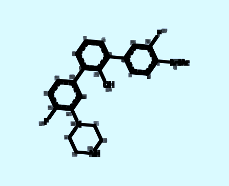 CC(=O)Nc1ccc(-c2cccc(-c3ccc(F)c(N4CCNCC4)c3)c2O)cc1F